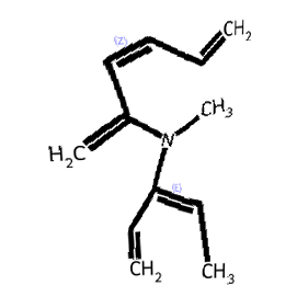 C=C/C=C\C(=C)N(C)/C(C=C)=C/C